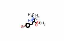 CCN1NC(Cc2ccc(Br)cc2)=C(C(=O)OC)C1C